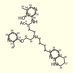 CC(=O)[C@H](CCN(CCCCc1ccc2c(n1)NCCC2)CCOc1cccnc1C)Nc1cncc(C)[n+]1O